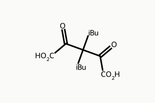 CCC(C)C(C(=O)C(=O)O)(C(=O)C(=O)O)C(C)CC